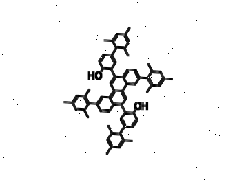 Cc1cc(C)c(-c2ccc(O)c(-c3cc4c5cc(-c6c(C)cc(C)cc6C)ccc5c(-c5cc(-c6c(C)cc(C)cc6C)ccc5O)cc4c4cc(-c5c(C)cc(C)cc5C)ccc34)c2)c(C)c1